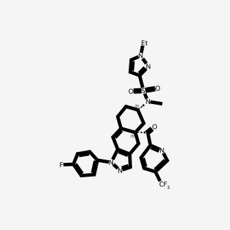 CCn1ccc(S(=O)(=O)N(C)[C@H]2CCC3=Cc4c(cnn4-c4ccc(F)cc4)C[C@]3(C(=O)c3ccc(C(F)(F)F)cn3)C2)n1